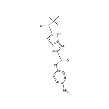 CC(C)(C)C(=O)c1cc2cc(C(=O)Nc3ccc(N)cc3)[nH]c2[nH]1